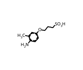 Cc1cc(OCCCS(=O)(=O)O)ccc1N